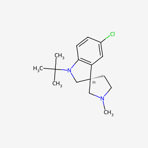 CN1CC[C@]2(C1)CN(C(C)(C)C)c1ccc(Cl)cc12